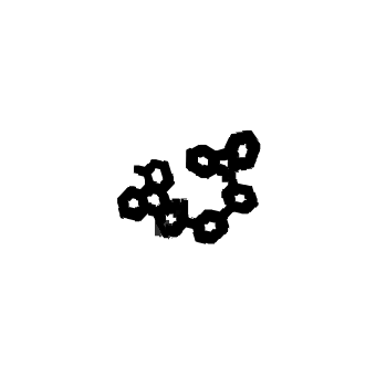 CC1CC=Cc2c1c1ccccc1c1ncc(-c3cccc(-c4cccc(-n5c6ccccc6c6ccccc65)c4)c3)nc21